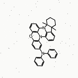 CC12CCCCC1(C)N1c3cccc4c3N(c3cc(N(c5ccccc5)c5ccccc5)ccc3O4)c3cccc2c31